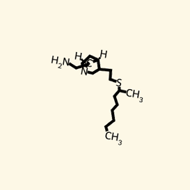 CCCCCCC(C)SCCC1CN2CC[C@H]1C[C@H]2CN